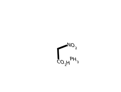 O=C(O)C[N+](=O)[O-].P